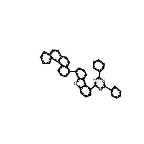 c1ccc(-c2nc(-c3ccccc3)nc(-c3cccc4oc5c(-c6cccc7c6ccc6ccc8ccccc8c67)cccc5c34)n2)cc1